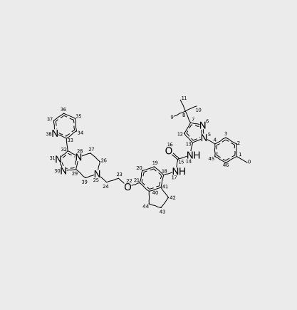 Cc1ccc(-n2nc(C(C)(C)C)cc2NC(=O)Nc2ccc(OCCN3CCn4c(nnc4-c4ccccn4)C3)c3c2CCC3)cc1